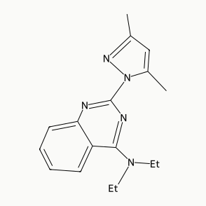 CCN(CC)c1nc(-n2nc(C)cc2C)nc2ccccc12